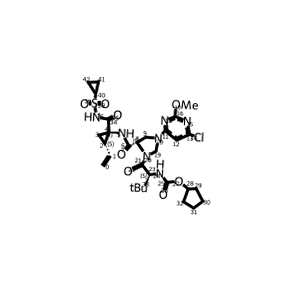 C=C[C@@H]1C[C@]1(NC(=O)[C@@H]1CN(c2cc(Cl)nc(OC)n2)CN1C(=O)[C@@H](NC(=O)OC1CCCC1)C(C)(C)C)C(=O)NS(=O)(=O)C1CC1